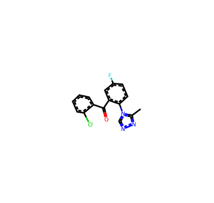 Cc1nncn1-c1ccc(F)cc1C(=O)c1ccccc1Cl